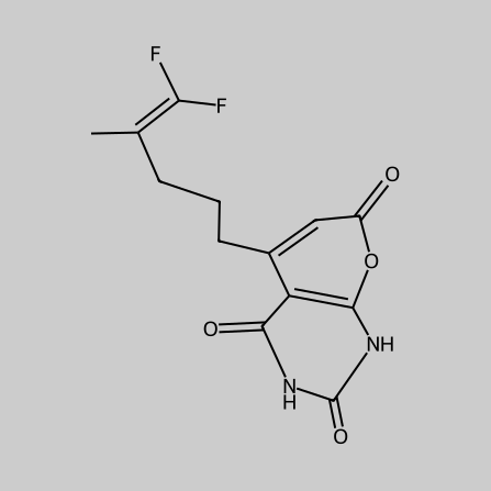 CC(CCCc1cc(=O)oc2[nH]c(=O)[nH]c(=O)c12)=C(F)F